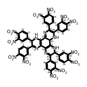 O=[N+]([O-])c1ccc(C2=NC3=C(NC2c2ccc([N+](=O)[O-])c([N+](=O)[O-])c2)C2=NC(c4ccc([N+](=O)[O-])c([N+](=O)[O-])c4)=C(c4ccc([N+](=O)[O-])c([N+](=O)[O-])c4)NC2C2=C3N=C(c3ccc([N+](=O)[O-])c([N+](=O)[O-])c3)C(c3ccc([N+](=O)[O-])c([N+](=O)[O-])c3)N2)cc1[N+](=O)[O-]